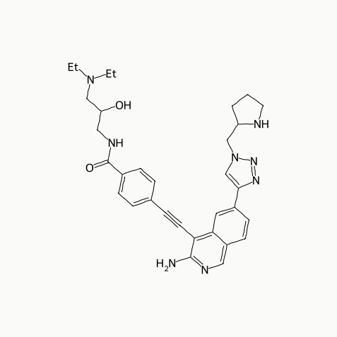 CCN(CC)CC(O)CNC(=O)c1ccc(C#Cc2c(N)ncc3ccc(-c4cn(CC5CCCN5)nn4)cc23)cc1